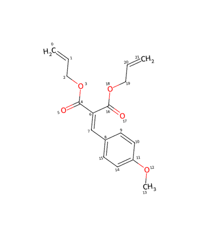 C=CCOC(=O)C(=Cc1ccc(OC)cc1)C(=O)OCC=C